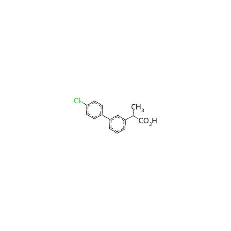 CC(C(=O)O)c1cccc(-c2ccc(Cl)cc2)c1